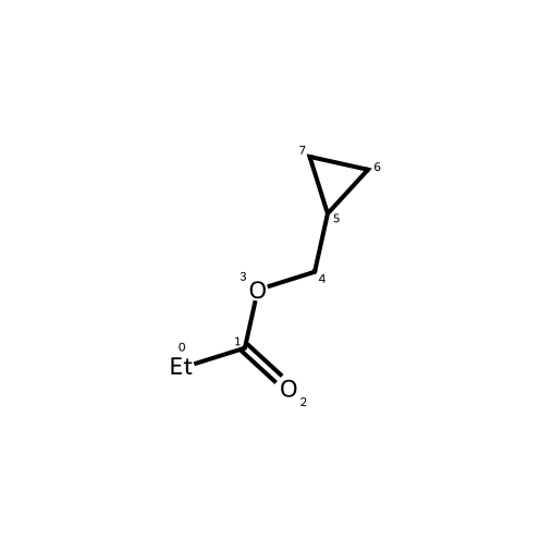 CCC(=O)OCC1CC1